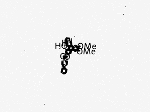 COc1cc2c3c(c4ccc(OC(=O)N5CCC(N6CCCCC6)CC5)cc4c2cc1OC)[C@H](O)[C@@H]1CCCN1C3